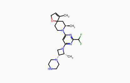 CC1=CCOC12CCN(c1cc(N3C[C@@H](N4CCNCC4)[C@H]3C)nc(C(F)F)n1)[C@H](C)C2